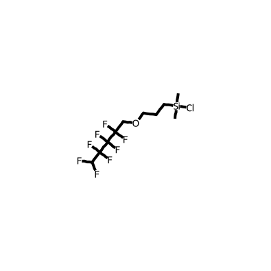 C[Si](C)(Cl)CCCOCC(F)(F)C(F)(F)C(F)(F)C(F)F